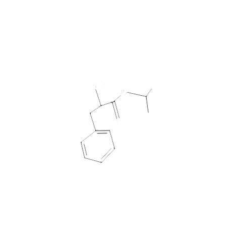 CC(=O)NC(Cc1ccccc1)C(=O)NC(C)C(=O)O